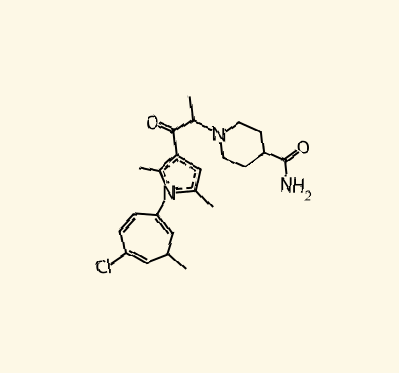 Cc1cc(C(=O)C(C)N2CCC(C(N)=O)CC2)c(C)n1C1=CC(C)C=C(Cl)C=C1